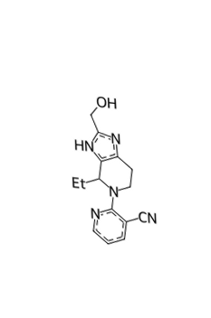 CCC1c2[nH]c(CO)nc2CCN1c1ncccc1C#N